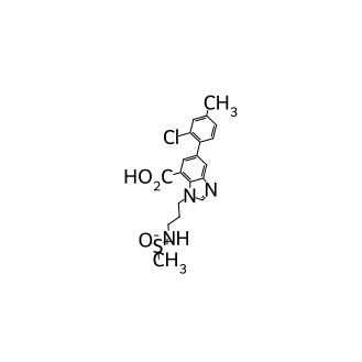 Cc1ccc(-c2cc(C(=O)O)c3c(c2)ncn3CCCN[S+](C)[O-])c(Cl)c1